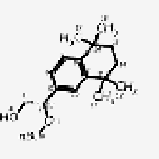 CCCCO[C@H](CO)c1ccc2c(c1)C(C)(C)CCC2(C)C